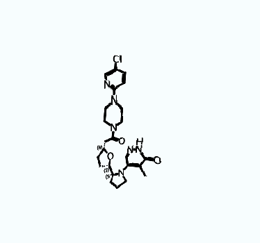 Cc1c(N2CCC[C@H]2[C@@H]2CC[C@H](CC(=O)N3CCN(c4ccc(Cl)cn4)CC3)O2)cn[nH]c1=O